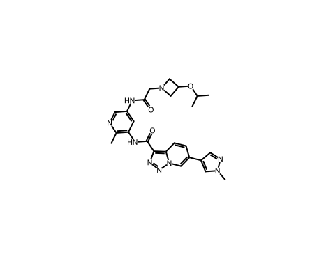 Cc1ncc(NC(=O)CN2CC(OC(C)C)C2)cc1NC(=O)c1nnn2cc(-c3cnn(C)c3)ccc12